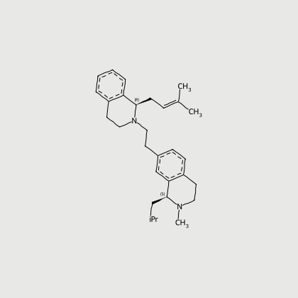 CC(C)=CC[C@@H]1c2ccccc2CCN1CCc1ccc2c(c1)[C@H](CC(C)C)N(C)CC2